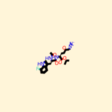 CC(=O)N[C@H](Cc1c[nH]c2c(F)cccc12)C(=O)N[C@@H](CCC(=O)C=[N+]=[N-])C(=O)OC(C)C